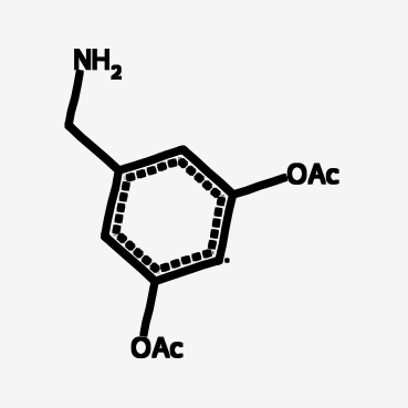 CC(=O)Oc1[c]c(OC(C)=O)cc(CN)c1